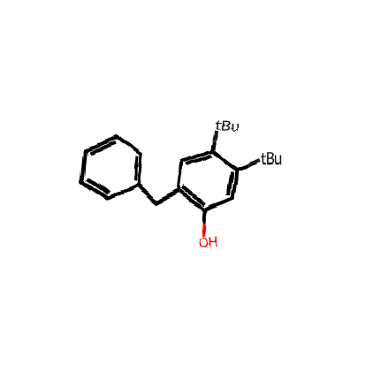 CC(C)(C)c1cc(O)c(Cc2ccccc2)cc1C(C)(C)C